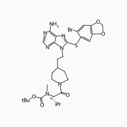 CC(C)[C@@H](C(=O)N1CCC(CCn2c(Sc3cc4c(cc3Br)OCO4)nc3c(N)ncnc32)CC1)N(C)C(=O)OC(C)(C)C